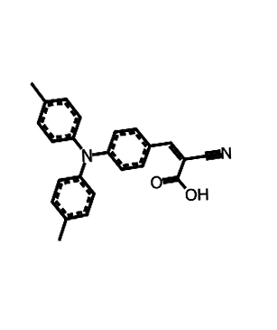 Cc1ccc(N(c2ccc(C)cc2)c2ccc(C=C(C#N)C(=O)O)cc2)cc1